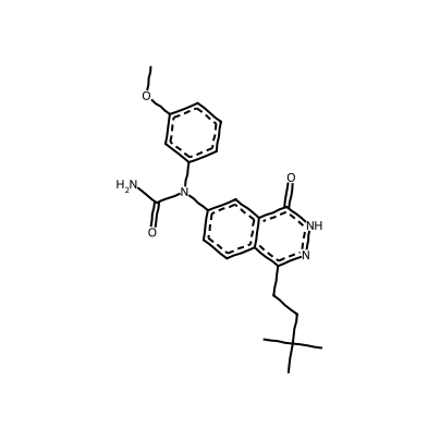 COc1cccc(N(C(N)=O)c2ccc3c(CCC(C)(C)C)n[nH]c(=O)c3c2)c1